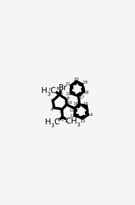 CC(C)C1CCC(C)(Br)CC1c1ccccc1-c1ccccc1